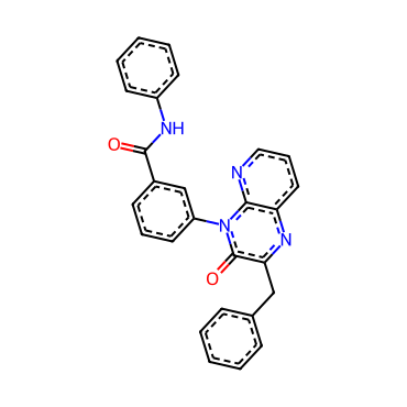 O=C(Nc1ccccc1)c1cccc(-n2c(=O)c(Cc3ccccc3)nc3cccnc32)c1